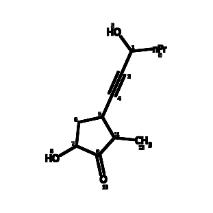 CCCC(O)C#CC1CC(O)C(=O)C1C